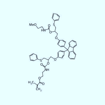 C=C(C)C(=O)OCCNC(=O)OC(COc1ccc(C2(c3ccc(OCC(CSc4ccccc4)OC(=O)NCCOC)cc3)c3ccccc3-c3ccccc32)cc1)CSc1ccccc1